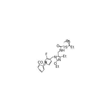 CCOc1nc(CC)c(CNC(=O)[C@H](CC(C)C)SC(=O)CC)n1Cc1ccc(-c2ccccc2C(=O)O)cc1F